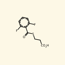 O=C(O)CCSC(=O)c1c(F)cccc1F